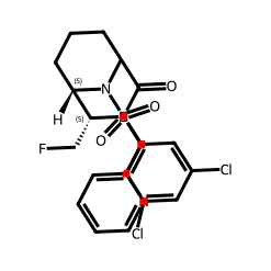 O=C1C2CCC[C@@H]([C@@H](CF)N1Cc1ccccn1)N2S(=O)(=O)c1cc(Cl)cc(Cl)c1